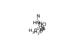 Cn1cnnc1[C@]1(c2cc(Cl)nc(NCCC#N)c2)C[C@H](C)C1